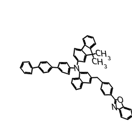 CC1(C)c2ccccc2-c2ccc(N(c3ccc(-c4ccc(-c5ccccc5)cc4)cc3)c3cc(Cc4ccc(-c5nc6ccccc6o5)cc4)cc4ccccc34)cc21